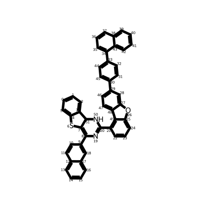 c1ccc2c(c1)SC1=C(c3ccc4ccccc4c3)N=C(c3cccc4oc5cc(-c6ccc(-c7cccc8ccccc78)cc6)ccc5c34)NC12